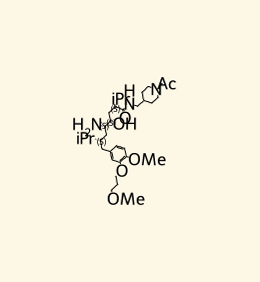 COCCCOc1cc(C[C@@H](C[C@H](N)[C@@H](O)C[C@H](C(=O)NCC2CCN(C(C)=O)CC2)C(C)C)C(C)C)ccc1OC